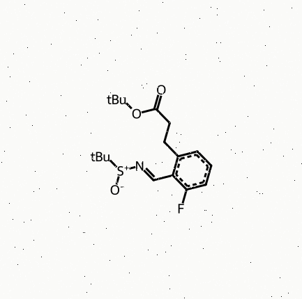 CC(C)(C)OC(=O)CCc1cccc(F)c1C=N[S+]([O-])C(C)(C)C